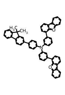 CC1(C)c2ccccc2-c2ccc(-c3ccc(N(c4cccc(-c5cccc6c5oc5ccccc56)c4)c4cccc(-c5cccc6c5oc5ccccc56)c4)cc3)cc21